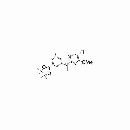 COc1nc(Nc2cc(C)cc(B3OC(C)(C)C(C)(C)O3)c2)ncc1Cl